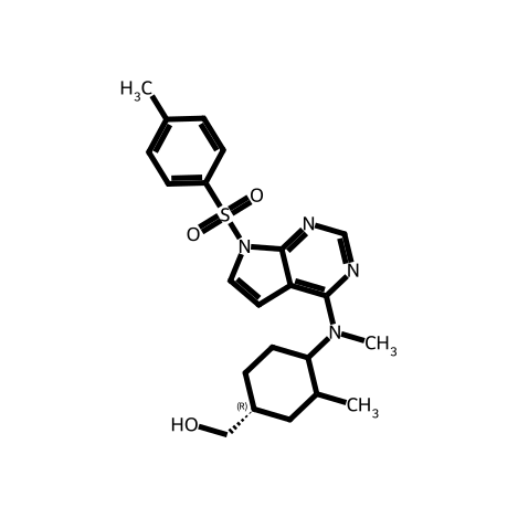 Cc1ccc(S(=O)(=O)n2ccc3c(N(C)C4CC[C@@H](CO)CC4C)ncnc32)cc1